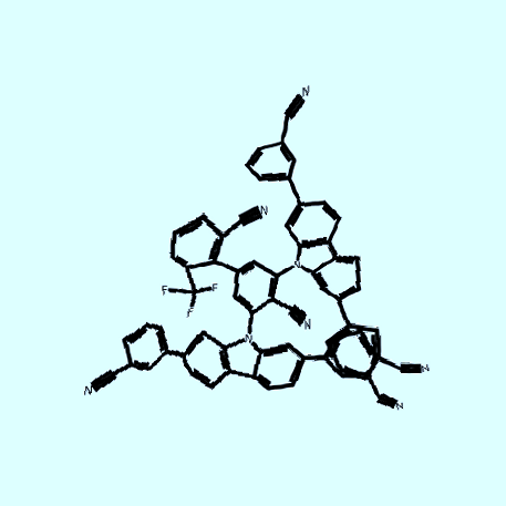 N#Cc1cccc(-c2ccc3c4ccc(-c5cccc(C#N)c5)cc4n(-c4cc(-c5c(C#N)cccc5C(F)(F)F)cc(-n5c6cc(-c7cccc(C#N)c7)ccc6c6ccc(-c7cccc(C#N)c7)cc65)c4C#N)c3c2)c1